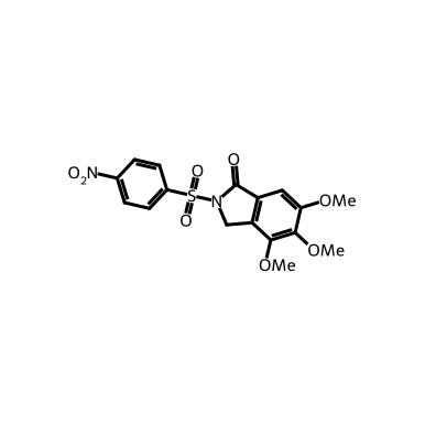 COc1cc2c(c(OC)c1OC)CN(S(=O)(=O)c1ccc([N+](=O)[O-])cc1)C2=O